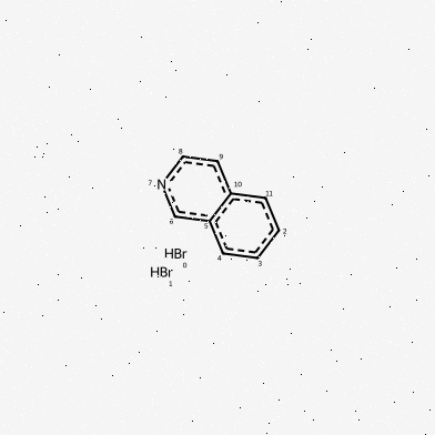 Br.Br.c1ccc2cnccc2c1